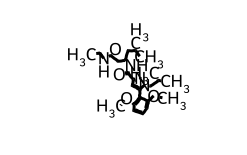 CCNC(=O)CC(CC(C)C)NC(=O)c1cc(-c2c(OC)cccc2OC)n(CC(C)C)n1